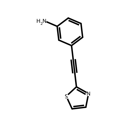 Nc1cccc(C#Cc2nccs2)c1